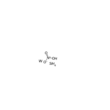 O=[N+]([O-])O.[SiH4].[W]